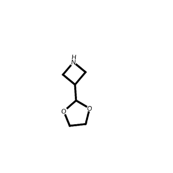 C1COC(C2CNC2)O1